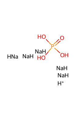 O=P(O)(O)O.[H+].[NaH].[NaH].[NaH].[NaH].[NaH]